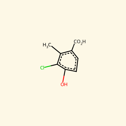 Cc1c(C(=O)O)ccc(O)c1Cl